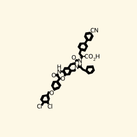 N#Cc1ccc(-c2ccc(C[C@H](NC(=O)[C@@H]3Cc4cc5c(cc4CN3CCc3ccccc3)OC(c3ccc(OCc4ccc(Cl)c(Cl)c4)cc3)C(=O)N5)C(=O)O)cc2)cc1